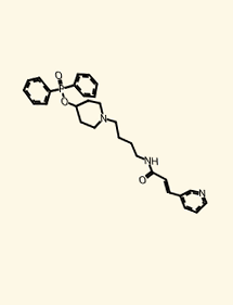 O=C(C=Cc1cccnc1)NCCCCN1CCC(OP(=O)(c2ccccc2)c2ccccc2)CC1